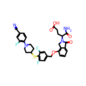 N#Cc1ccc(N2CCC(Sc3c(F)cc(COc4cccc5c4CN(C(CCC(=O)O)C(N)=O)C5=O)cc3F)CC2)c(F)c1